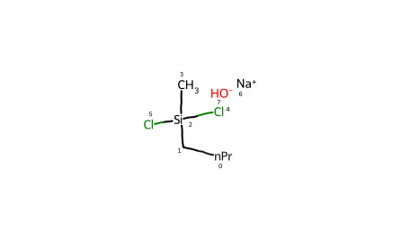 CCCC[Si](C)(Cl)Cl.[Na+].[OH-]